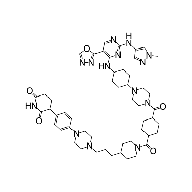 Cn1cc(Nc2ncc(-c3nnco3)c(NC3CCC(N4CCN(C(=O)C5CCC(C(=O)N6CCC(CCCN7CCN(c8ccc(C9CCC(=O)NC9=O)cc8)CC7)CC6)CC5)CC4)CC3)n2)cn1